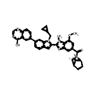 COc1cc(C(=O)N2CC3CCC2[C@@H]3N)cc2nc(-c3cc4ccc(-c5ccc6ncnc(O)c6c5)cc4n3CC3CC3)n(C)c12